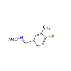 CO/N=C/C1C=C(C)C(Br)=CC1